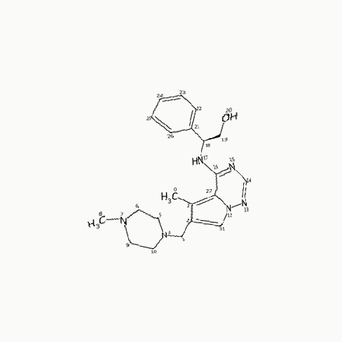 Cc1c(CN2CCN(C)CC2)cn2ncnc(N[C@H](CO)c3ccccc3)c12